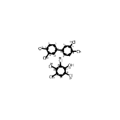 Clc1ccc(-c2ccc(Cl)c(Cl)c2)cc1Cl.Oc1c(Cl)cc(Cl)c(Cl)c1Cl